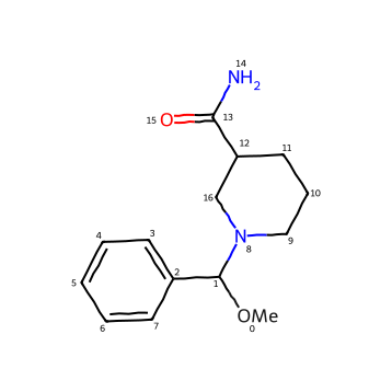 COC(c1ccccc1)N1CCCC(C(N)=O)C1